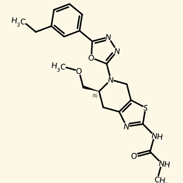 CCc1cccc(-c2nnc(N3Cc4sc(NC(=O)NC)nc4C[C@H]3COC)o2)c1